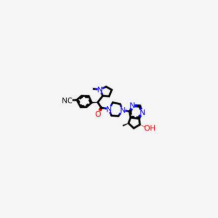 C[C@@H]1C[C@@H](O)c2ncnc(N3CCN(C(=O)[C@@H](c4ccc(C#N)cc4)C4CCCN4C)CC3)c21